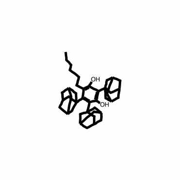 CCCCCCc1c(O)c(C23CC4CC(CC(C4)C2)C3)c(O)c(C23CC4CC(CC(C4)C2)C3)c1C12CC3CC(CC(C3)C1)C2